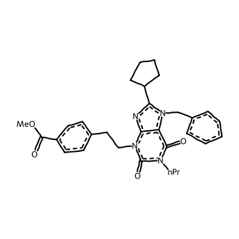 CCCn1c(=O)c2c(nc(C3CCCC3)n2Cc2ccccc2)n(CCc2ccc(C(=O)OC)cc2)c1=O